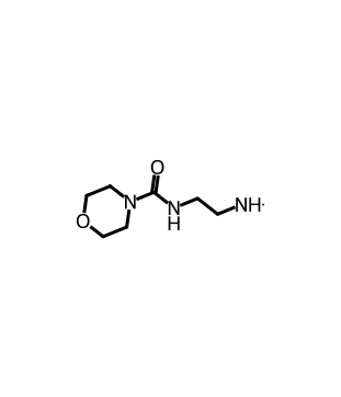 [NH]CCNC(=O)N1CCOCC1